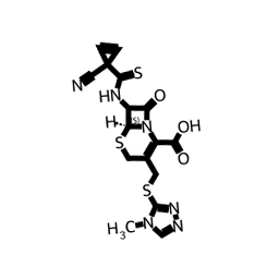 Cn1cnnc1SCC1=C(C(=O)O)N2C(=O)C(NC(=S)C3(C#N)C#C3)[C@@H]2SC1